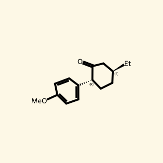 CC[C@H]1CC[C@H](c2ccc(OC)cc2)C(=O)C1